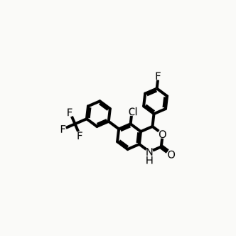 O=C1Nc2ccc(-c3cccc(C(F)(F)F)c3)c(Cl)c2C(c2ccc(F)cc2)O1